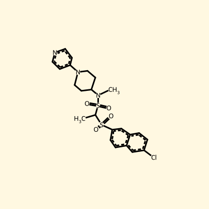 CC(S(=O)(=O)c1ccc2cc(Cl)ccc2c1)S(=O)(=O)N(C)C1CCN(c2ccncc2)CC1